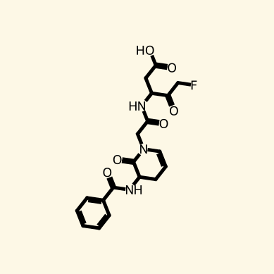 O=C(O)CC(NC(=O)CN1C=CCC(NC(=O)c2ccccc2)C1=O)C(=O)CF